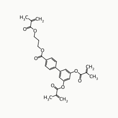 C=C(C)C(=O)OCCCOC(=O)c1ccc(-c2cc(OC(=O)C(=C)C)cc(OC(=O)C(=C)C)c2)cc1